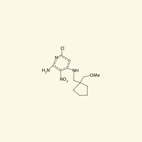 COCC1(CNc2cc(Cl)nc(N)c2[N+](=O)[O-])CCCC1